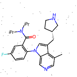 Cc1cncc2c1c(C[C@@H]1CCNC1)cn2-c1ccc(F)cc1C(=O)N(C(C)C)C(C)C